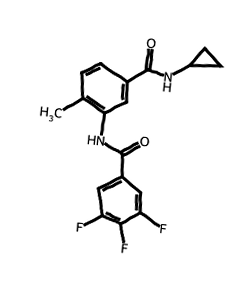 Cc1ccc(C(=O)NC2CC2)cc1NC(=O)c1cc(F)c(F)c(F)c1